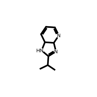 CC(C)C1=NC2N=CC=CC2N1